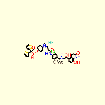 COc1cc(NC(=O)CCN(C)C2CCC(OC(=O)C(O)(c3cccs3)c3cccs3)CC2)c(Cl)cc1CNCC(O)c1ccc(O)c2[nH]c(=O)ccc12.F